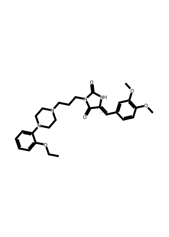 CCOc1ccccc1N1CCN(CCCN2C(=O)N/C(=C\c3ccc(OC)c(OC)c3)C2=O)CC1